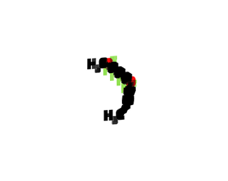 CCCCCC1CCC(c2ccc(C(F)(F)Oc3ccc(-c4ccc(-c5cc(F)c(OCC)c(F)c5)c(F)c4)c(F)c3)c(F)c2)CC1